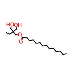 CCCCCCCCCCCCCC(=O)OCC(CC)(CO)CO